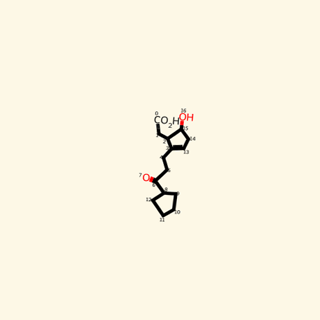 O=C(O)CC1C(CCC(=O)C2CCCC2)=CCC1O